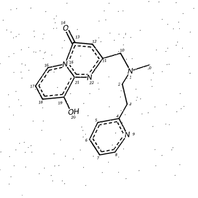 CN(CCc1ccccn1)Cc1cc(=O)n2cccc(O)c2n1